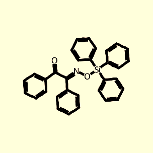 O=C(/C(=N/O[Si](c1ccccc1)(c1ccccc1)c1ccccc1)c1ccccc1)c1ccccc1